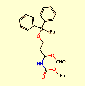 CC(C)(C)OC(=O)NC(CCO[Si](c1ccccc1)(c1ccccc1)C(C)(C)C)OC=O